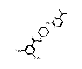 COc1cc(OC)cc(C(=O)N[C@H]2CC[C@@H](Nc3nccc(N(C)C)n3)CC2)c1